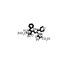 CCOC(=O)N[C@H](C(=O)NN(CC1CCOCC1)C[C@H](O)C(C(=O)[C@@H](NC(=O)OCC)C(C)C)C(N)c1ccccc1)C(C)C